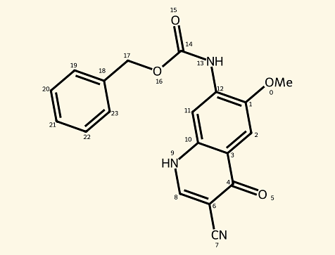 COc1cc2c(=O)c(C#N)c[nH]c2cc1NC(=O)OCc1ccccc1